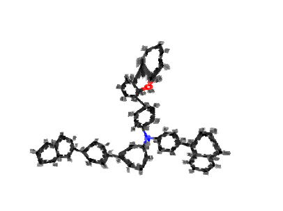 c1cc(-c2ccc(-c3ccc4ccccc4c3)cc2)cc(N(c2ccc(-c3cccc4ccccc34)cc2)c2ccc(-c3cccc4c3oc3ccccc34)cc2)c1